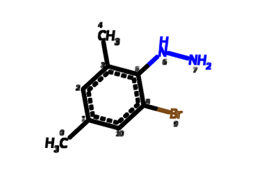 Cc1cc(C)c(NN)c(Br)c1